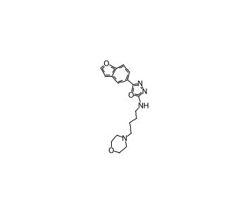 c1cc2cc(-c3nnc(NCCCCN4CCOCC4)o3)ccc2o1